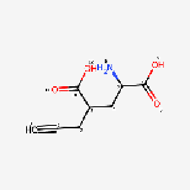 C#CCC(C[C@@H](N)C(=O)O)C(=O)O